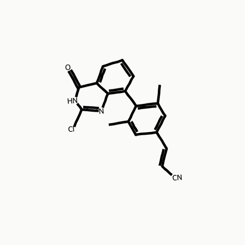 Cc1cc(C=CC#N)cc(C)c1-c1cccc2c(=O)[nH]c(Cl)nc12